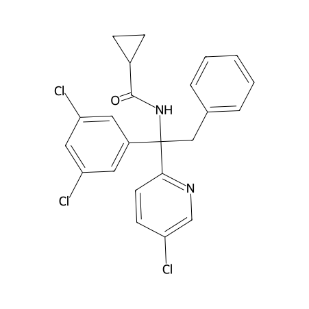 O=C(NC(Cc1ccccc1)(c1cc(Cl)cc(Cl)c1)c1ccc(Cl)cn1)C1CC1